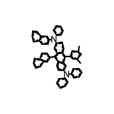 Cc1cc(C)cc(-c2c3ccc(N(c4ccccc4)c4ccc5ccccc5c4)cc3c(-c3ccc4ccccc4c3)c3ccc(N(c4ccccc4)c4ccccc4)cc23)c1